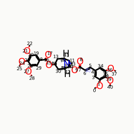 COc1cc(/C=C/C(=O)O[C@H]2C[C@@H]3C[C@H](OC(=O)c4cc(OC)c(OC)c(OC)c4)C[C@H]2N3C)cc(OC)c1OC